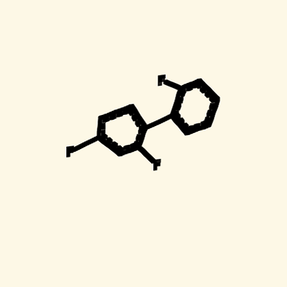 Fc1ccc(-c2ccccc2F)c(F)c1